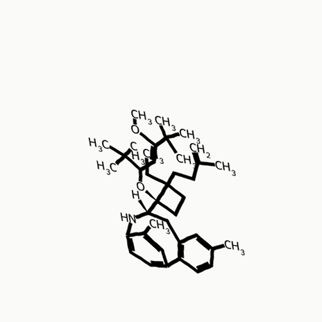 C=C(C)CCC1(CC)CC[C@]1(OC(/C=C(\OC)C(C)(C)C)C(C)(C)C)[C@@H]1Cc2cc(C)ccc2-c2ccc(c(C)c2)N1